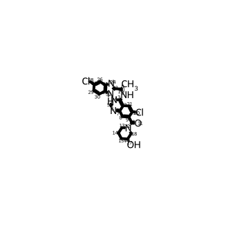 C[C@@H](Nc1ncnc2cc(C(=O)N3CCC[C@@H](O)C3)c(Cl)cc12)c1nc2cc(Cl)ccc2[nH]1